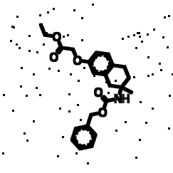 CCOC(=O)COc1ccc2c(c1)CC(C)(NC(=O)OCc1ccccc1)CC2